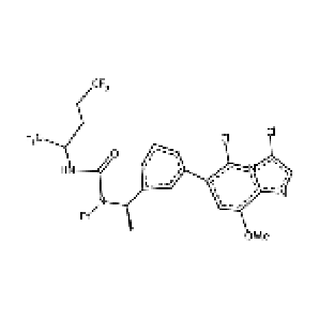 CCN(C(=O)NC(CCC(F)(F)F)C(F)(F)F)[C@H](C)c1cccc(-c2cc(OC)c3ncc(Cl)n3c2Cl)c1